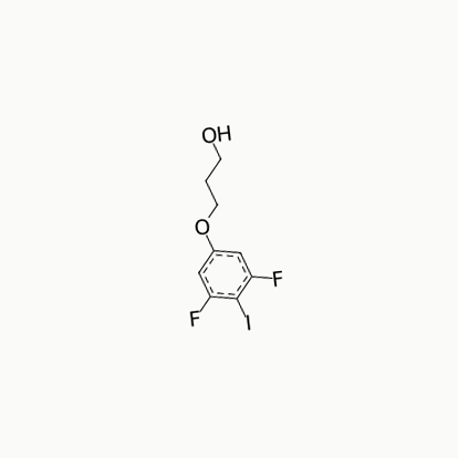 OCCCOc1cc(F)c(I)c(F)c1